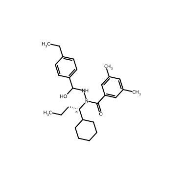 CCC[C@@H](C1CCCCC1)N(NC(O)c1ccc(CC)cc1)C(=O)c1cc(C)cc(C)c1